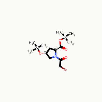 C[Si](C)(C)OC(=O)[C@@H]1C[C@@H](O[Si](C)(C)C)CN1C(=O)CBr